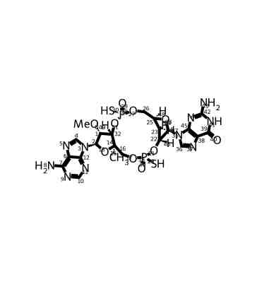 CO[C@H]1[C@H](n2cnc3c(N)ncnc32)O[C@]2(C)COP(=O)(S)O[C@@H]3[C@H](F)[C@@H](CO[P@@](=O)(S)O[C@@H]12)O[C@H]3n1cnc2c(=O)[nH]c(N)nc21